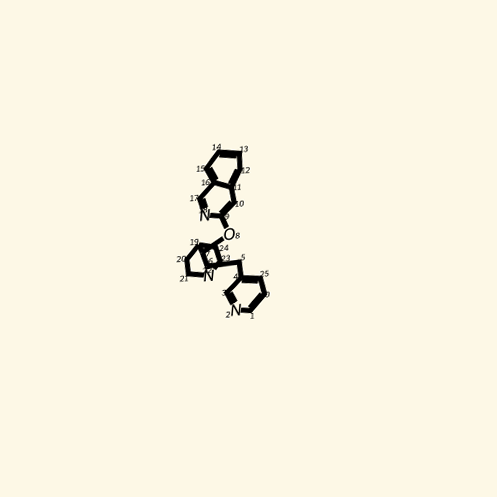 c1cncc(CC2C(Oc3cc4ccccc4cn3)C3CCN2CC3)c1